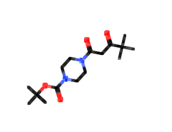 CC(C)(C)OC(=O)N1CCN(C(=O)CC(=O)C(C)(C)C)CC1